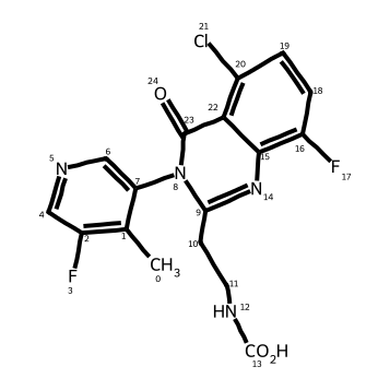 Cc1c(F)cncc1-n1c(CCNC(=O)O)nc2c(F)ccc(Cl)c2c1=O